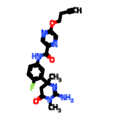 C#CCCOc1cnc(C(=O)Nc2ccc(F)c(C3(C)CC(=O)N(C)C(N)=N3)c2)cn1